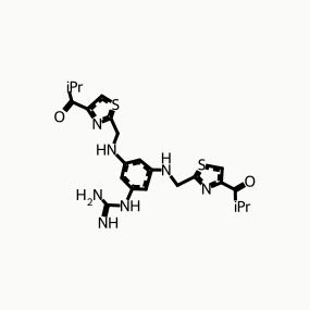 CC(C)C(=O)c1csc(CNc2cc(NCc3nc(C(=O)C(C)C)cs3)cc(NC(=N)N)c2)n1